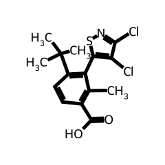 Cc1c(C(=O)O)ccc(C(C)(C)C)c1-c1snc(Cl)c1Cl